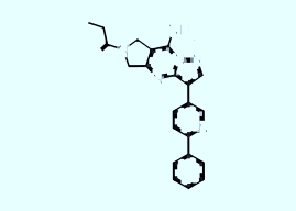 CCC(=O)N1Cc2nc3c(-c4ccc(-c5ccccc5)nc4)cnn3c(N)c2C1